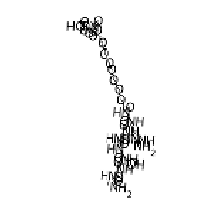 CC[C@H](NC(=O)CNC(=O)[C@@H](NC(=O)CNC(=O)[C@H](CC(C)C)NC(=O)CNC(=O)[C@H](CCCNC(=N)N)NC(=O)CNC(=O)CCOCCOCCOCCOCOCCOCCOCCC(=O)ON1C(=O)CC(S(=O)(=O)O)C1=O)[C@@H](C)O)C(N)=O